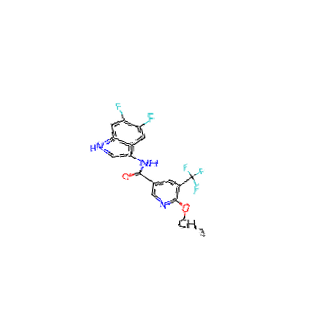 COc1ncc(C(=O)Nc2c[nH]c3cc(F)c(F)cc23)cc1C(F)(F)F